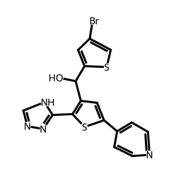 OC(c1cc(Br)cs1)c1cc(-c2ccncc2)sc1-c1nnc[nH]1